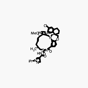 CO[C@H]1/C=C/C[C@H](C)C[S@@](=O)(NC(=O)c2cnn(C(C)C)c2)=NC(=O)c2ccc3c(c2)N(C[C@@H]2CC[C@H]21)C[C@@]1(CCCc2cc(Cl)ccc21)CO3